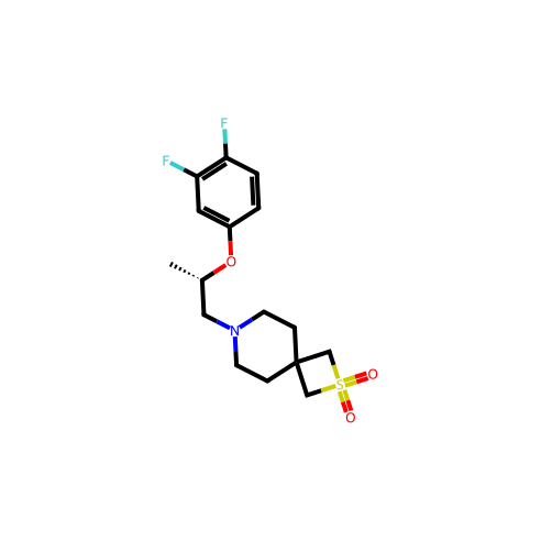 C[C@@H](CN1CCC2(CC1)CS(=O)(=O)C2)Oc1ccc(F)c(F)c1